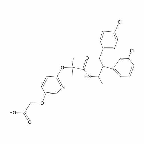 CC(NC(=O)C(C)(C)Oc1ccc(OCC(=O)O)cn1)C(Cc1ccc(Cl)cc1)c1cccc(Cl)c1